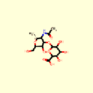 CC(=O)NC1C(OC2OC(C(=O)O)C(O)C(O)C2O)C(O)C(CO)O[C@@H]1C